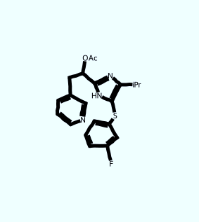 CC(=O)OC(Cc1cccnc1)c1nc(C(C)C)c(Sc2cccc(F)c2)[nH]1